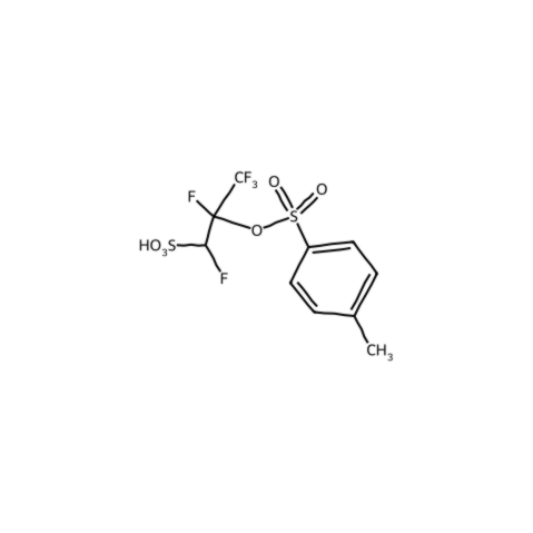 Cc1ccc(S(=O)(=O)OC(F)(C(F)S(=O)(=O)O)C(F)(F)F)cc1